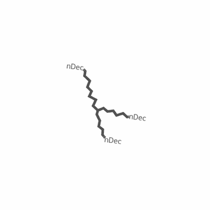 CCCCCCCCCCCCCCCCCC[C](CCCCCCCCCCCCCCC)CCCCCCCCCCCCCCCC